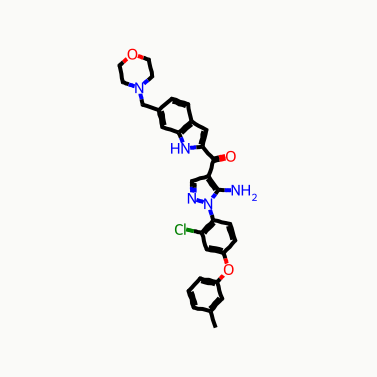 Cc1cccc(Oc2ccc(-n3ncc(C(=O)c4cc5ccc(CN6CCOCC6)cc5[nH]4)c3N)c(Cl)c2)c1